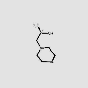 C[C@@H](O)CN1CC[N]CC1